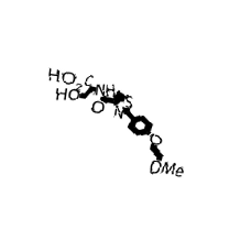 COCCOc1ccc(-c2nc(C(=O)N[C@@H](CO)C(=O)O)cs2)cc1